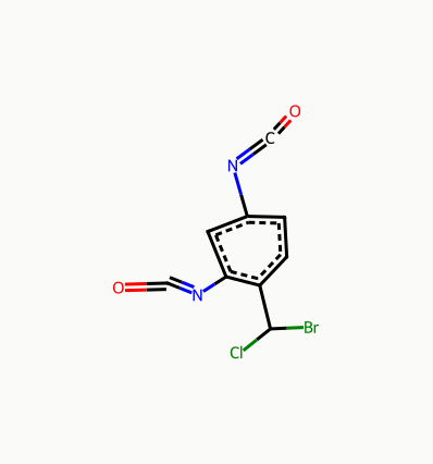 O=C=Nc1ccc(C(Cl)Br)c(N=C=O)c1